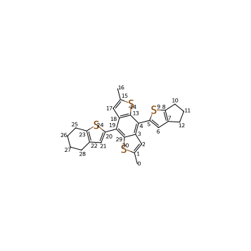 Cc1cc2c(-c3cc4c(s3)CCC4)c3sc(C)cc3c(-c3cc4c(s3)CCCC4)c2s1